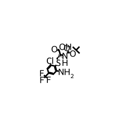 CC(C)(C)OC(=O)N[C@@H](CSc1c(N)cc(C(F)(F)F)cc1Cl)C(=O)O